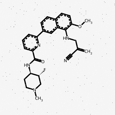 C=C(C#N)CNc1c(OC)ccc2ccc(-c3cccc(C(=O)N[C@@H]4CCN(C)C[C@H]4F)n3)cc12